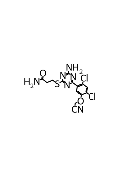 N#CCOc1cc(-c2nc(N)nc(SCCC(N)=O)n2)c(Cl)cc1Cl